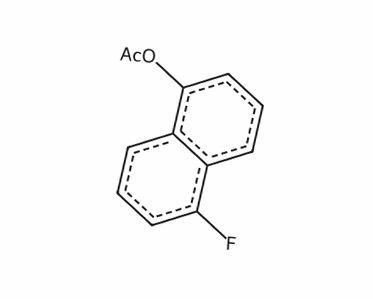 CC(=O)Oc1cccc2c(F)cccc12